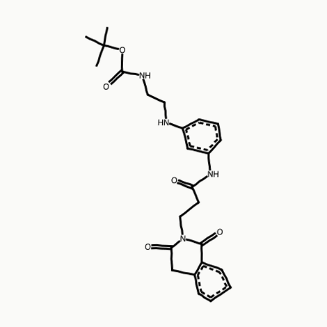 CC(C)(C)OC(=O)NCCNc1cccc(NC(=O)CCN2C(=O)Cc3ccccc3C2=O)c1